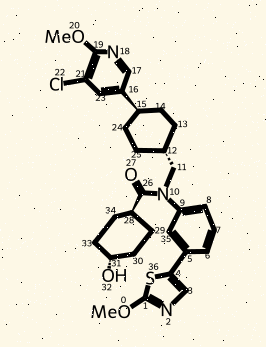 COc1ncc(-c2cccc(N(C[C@H]3CC[C@H](c4cnc(OC)c(Cl)c4)CC3)C(=O)[C@H]3CC[C@H](O)CC3)c2)s1